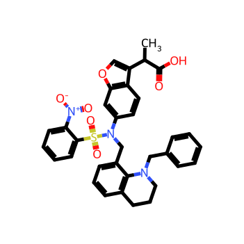 CC(C(=O)O)c1coc2cc(N(Cc3cccc4c3N(Cc3ccccc3)CCC4)S(=O)(=O)c3ccccc3[N+](=O)[O-])ccc12